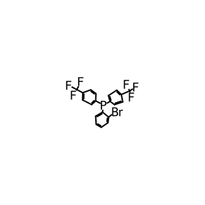 FC(F)(F)c1ccc(P(c2ccc(C(F)(F)F)cc2)c2ccccc2Br)cc1